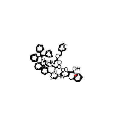 O=C(N[C@@H](Cc1cn(C(c2ccccc2)(c2ccccc2)c2ccccc2)c2ccccc12)C(=O)N1C(c2ccccc2)SC[C@H]1C(=O)N[C@@H](Cc1ccccc1)C(=O)C(=O)O)OCc1ccccc1